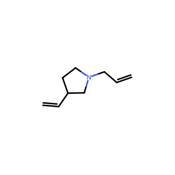 C=CCN1CCC(C=C)C1